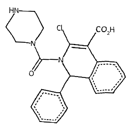 O=C(O)C1=C(Cl)N(C(=O)N2CCNCC2)C(c2ccccc2)c2ccccc21